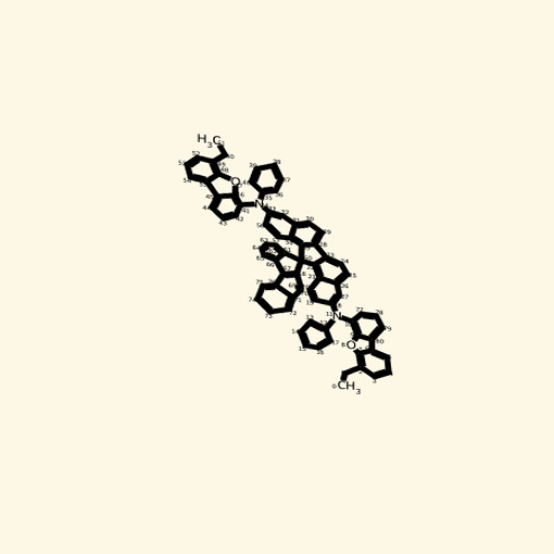 CCc1cccc2c1oc1c(N(c3ccccc3)c3ccc4c5c(ccc4c3)-c3ccc4cc(N(c6ccccc6)c6cccc7c6oc6c(CC)cccc67)ccc4c3C53c4ccccc4-c4c3ccc3ccccc43)cccc12